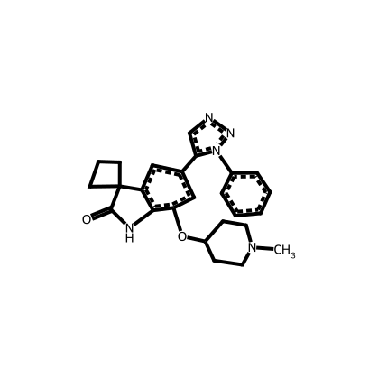 CN1CCC(Oc2cc(-c3cnnn3-c3ccccc3)cc3c2NC(=O)C32CCC2)CC1